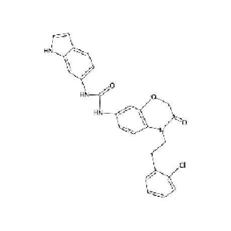 O=C(Nc1ccc2c(c1)OCC(=O)N2CCc1ccccc1Cl)Nc1ccc2cc[nH]c2c1